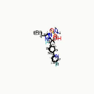 CN(C)S(=O)(=O)n1cc(CC(C)(C)C)nc1C(C)(O)C(F)c1ccc(-c2ccc(F)cn2)cc1